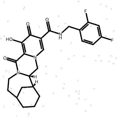 O=C(NCc1ccc(F)cc1F)c1cn2c(c(O)c1=O)C(=O)N1CCC3CCC[C@H](C3)[C@H]1C2